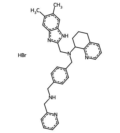 Br.Cc1cc2nc(CN(Cc3ccc(CNCc4ccccn4)cc3)C3CCCc4cccnc43)[nH]c2cc1C